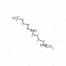 CCCCCNCCCCNC